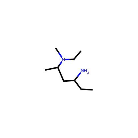 CCC(N)CC(C)N(C)CC